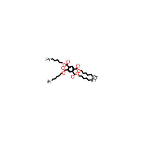 CC(C)CCCCCOC(=O)c1cc(C(=O)OCCCCCC(C)C)c(C(=O)OCCCCCC(C)C)cc1C(=O)OCCCCCC(C)C